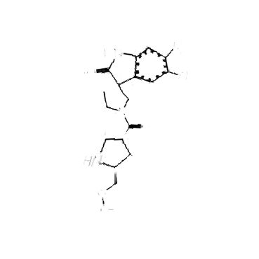 COC[C@@H]1C[C@H](C(=O)N2CC[C@]3(C2)C(=O)Nc2cc(Cl)c(Cl)cc23)CN1